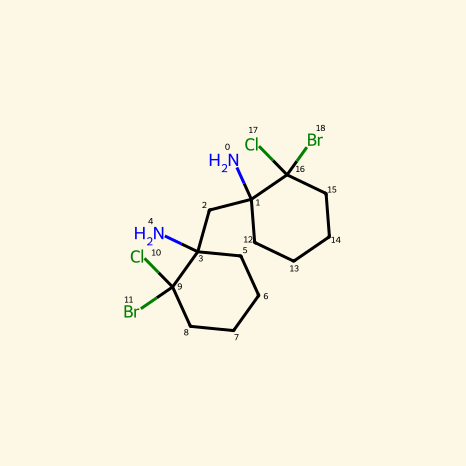 NC1(CC2(N)CCCCC2(Cl)Br)CCCCC1(Cl)Br